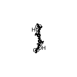 C=CC(=O)OCC(O)CC(C)(CC)Oc1ccc(C(C)(C)c2ccc(OCC(O)CC(C)(CC)OC(=O)C=C)c(C(C)C)c2)cc1C(C)C